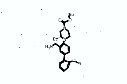 CCOc1ccccc1-c1ccc(N2CCN(C(=O)OC(C)(C)C)C[C@H]2CC)c(CN)c1